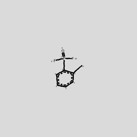 Cc1ccccc1P(=O)(F)F